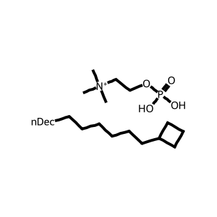 CCCCCCCCCCCCCCCCC1CCC1.C[N+](C)(C)CCOP(=O)(O)O